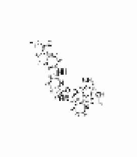 CC(=O)N1CCc2cc(Nc3cccc(S(=O)(=O)NC(=O)c4cccnc4N4CC(C)CC4(C)C)n3)ccc21